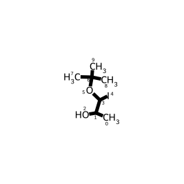 CC(O)C(I)OC(C)(C)C